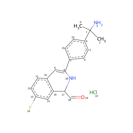 CC(C)(N)c1ccc(C2=Cc3ccc(F)cc3C(C=O)N2)cc1.Cl